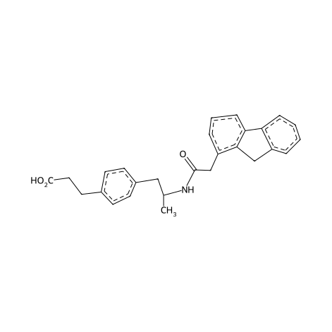 CC(Cc1ccc(CCC(=O)O)cc1)NC(=O)Cc1cccc2c1Cc1ccccc1-2